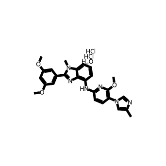 COc1cc(OC)cc(-c2nc3c(Nc4ccc(-n5cnc(C)c5)c(OC)n4)cccc3n2C)c1.Cl.Cl.O